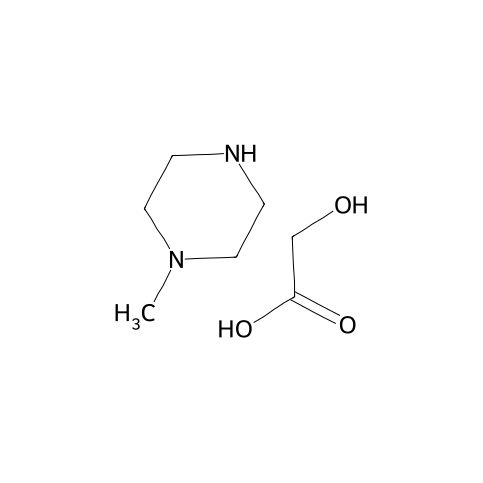 CN1CCNCC1.O=C(O)CO